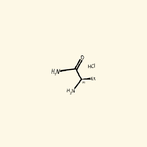 CC[C@@H](N)C(N)=O.Cl